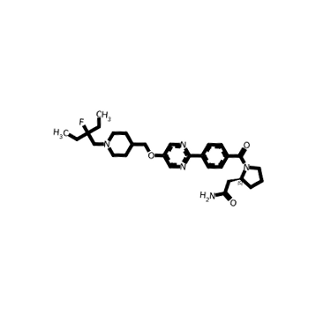 CCC(F)(CC)CN1CCC(COc2cnc(-c3ccc(C(=O)N4CCC[C@H]4CC(N)=O)cc3)nc2)CC1